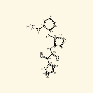 COc1ccccc1Sc1cocc1CC(=O)C(=O)c1nc[nH]n1